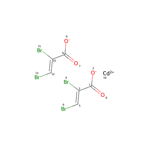 O=C([O-])/C(Br)=C/Br.O=C([O-])/C(Br)=C/Br.[Cd+2]